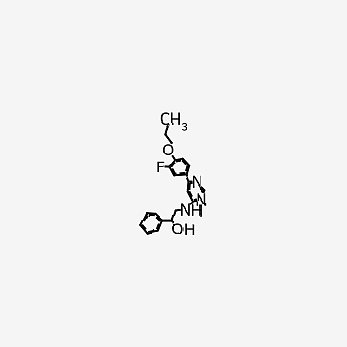 CCCCOc1ccc(-c2cc(NC[C@H](O)c3ccccc3)ncn2)cc1F